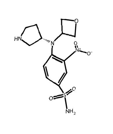 NS(=O)(=O)c1ccc(N(C2COC2)[C@H]2CCNC2)c([N+](=O)[O-])c1